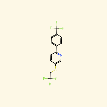 FC(F)(F)CSc1ccc(-c2ccc(C(F)(F)F)cc2)nc1